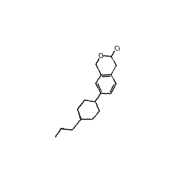 CCCC1CCC(c2ccc3c(c2)COC(Cl)C3)CC1